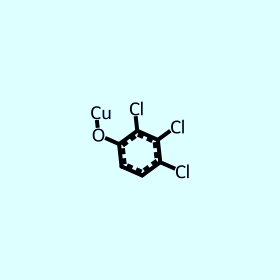 Clc1ccc([O][Cu])c(Cl)c1Cl